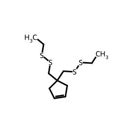 CCSSCC1(CSSCC)CC=CC1